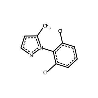 FC(F)(F)c1[c]cnn1-c1c(Cl)cccc1Cl